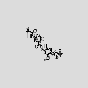 COc1cc(CNC(=O)c2ccnc(NC(=O)C3CC3)n2)cnc1OCC(F)(F)F